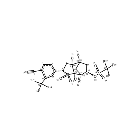 C[C@@]12[C@@H](CN(c3ccc(C#N)c(C(F)(F)F)c3)S1(=O)=O)[C@H]1C[C@@H](OS(=O)(=O)C(F)(F)F)[C@@H]2C1